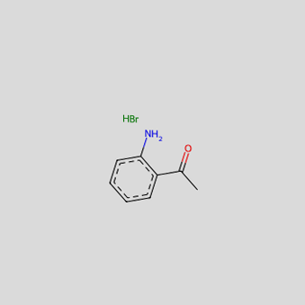 Br.CC(=O)c1ccccc1N